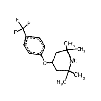 CC1(C)CC(Oc2ccc(C(F)(F)F)cc2)CC(C)(C)N1